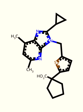 Cc1cc(C)c2nc(C3CC3)n(Cc3ccc(C4(C(=O)O)CCCC4)s3)c2n1